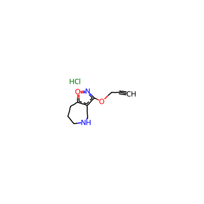 C#CCOc1noc2c1CNCCC2.Cl